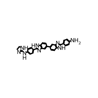 Nc1ccc(-c2nc3cc(-c4ccc5[nH]c(-c6ccc(NC7=NCCN7)cc6)nc5c4)ccc3[nH]2)cc1